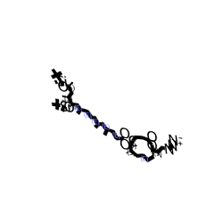 CC(=C\C=C\C(C)=C\[C@H](O[Si](C)(C)C(C)(C)C)[C@@H](C)C[C@H](C)O[Si](C)(C)C(C)(C)C)/C=C(C)/C=C/C(=O)O[C@H]1CCCC(=O)O[C@@H]([C@@H](C)CN=[N+]=[N-])C/C=C/C[C@@H]1C